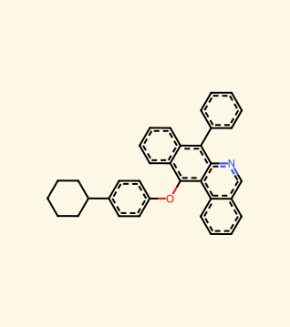 c1ccc(-c2c3ccccc3c(Oc3ccc(C4CCCCC4)cc3)c3c2ncc2ccccc23)cc1